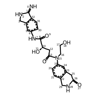 N=C1NCc2cc(NC(=O)[C@H](O)CC(=O)N(CCO)c3ccc4c(c3)CC(=O)NC4)ccc21